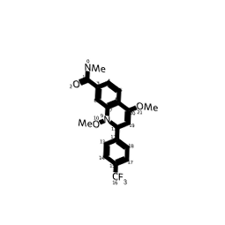 CNC(=O)c1ccc2c(c1)N(OC)C(c1ccc(C(F)(F)F)cc1)C=C2OC